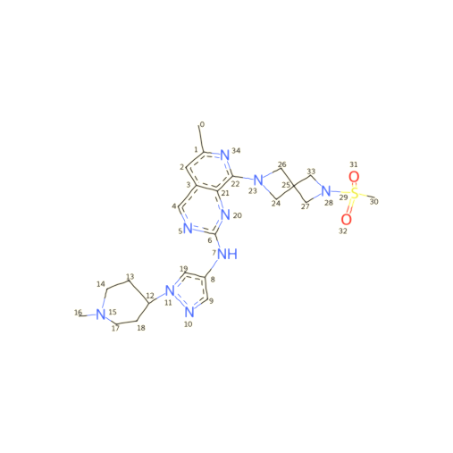 Cc1cc2cnc(Nc3cnn(C4CCN(C)CC4)c3)nc2c(N2CC3(C2)CN(S(C)(=O)=O)C3)n1